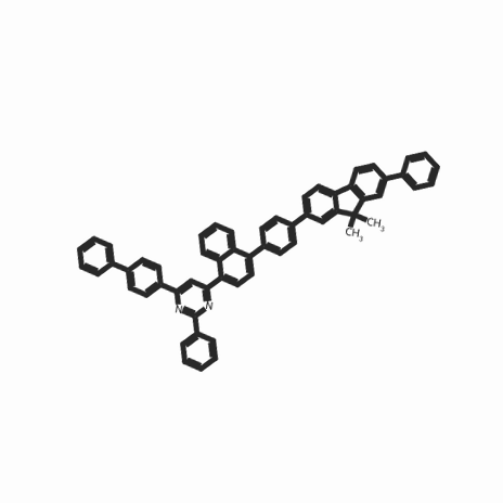 CC1(C)c2cc(-c3ccccc3)ccc2-c2ccc(-c3ccc(-c4ccc(-c5cc(-c6ccc(-c7ccccc7)cc6)nc(-c6ccccc6)n5)c5ccccc45)cc3)cc21